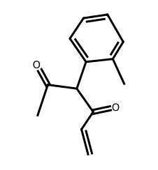 C=CC(=O)C(C(C)=O)c1ccccc1C